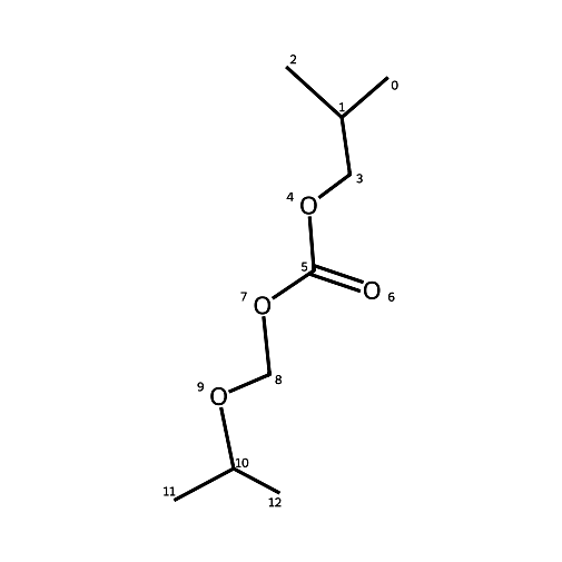 CC(C)COC(=O)OCOC(C)C